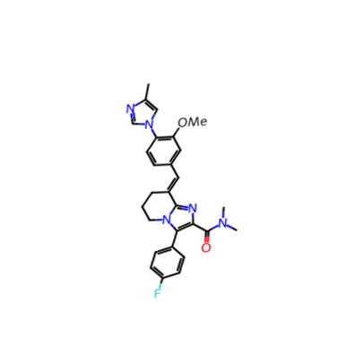 COc1cc(C=C2CCCn3c2nc(C(=O)N(C)C)c3-c2ccc(F)cc2)ccc1-n1cnc(C)c1